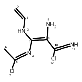 C=CNC(/N=C(\C)Cl)=C(\N)C(=N)Cl